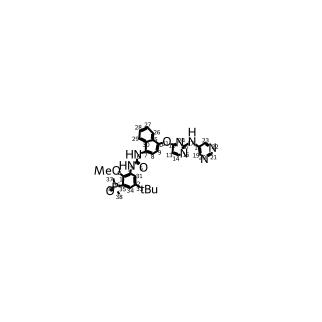 COc1c(NC(=O)Nc2ccc(Oc3ccnc(Nc4cncnc4)n3)c3ccccc23)cc(C(C)(C)C)cc1P(C)(C)=O